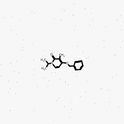 Cc1c(OCc2ccccc2)ccn(C(C)C)c1=O